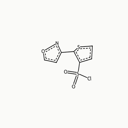 O=S(=O)(Cl)c1ccsc1-c1ccon1